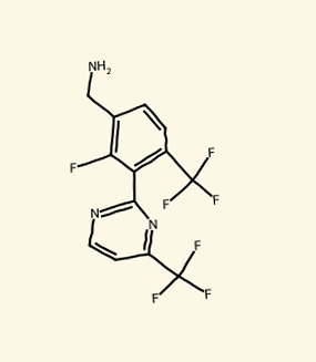 NCc1ccc(C(F)(F)F)c(-c2nccc(C(F)(F)F)n2)c1F